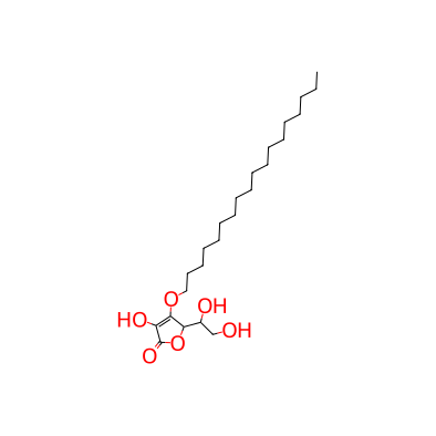 CCCCCCCCCCCCCCCCCCOC1=C(O)C(=O)OC1C(O)CO